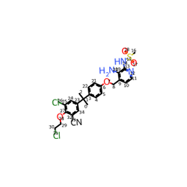 CC(C)(c1ccc(OCc2ccnc(NS(C)(=O)=O)c2N)cc1)c1cc(Cl)c(OCCCl)c(C#N)c1